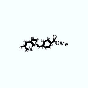 COC(=O)c1ccc(Cn2ccc3cc(C)cnc32)cc1